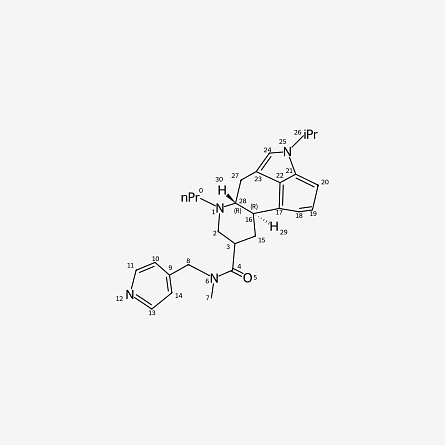 CCCN1CC(C(=O)N(C)Cc2ccncc2)C[C@@H]2c3cccc4c3c(cn4C(C)C)C[C@H]21